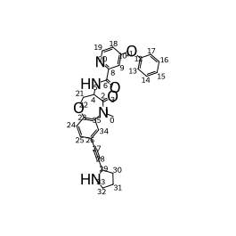 CN1C(=O)C(NC(=O)c2cc(Oc3ccccc3)ccn2)COc2ccc(C#CC3CCCN3)cc21